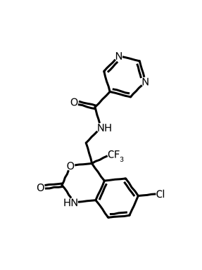 O=C1Nc2ccc(Cl)cc2C(CNC(=O)c2cncnc2)(C(F)(F)F)O1